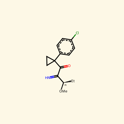 CC[C@@H](OC)C(=N)C(=O)C1(c2ccc(Cl)cc2)CC1